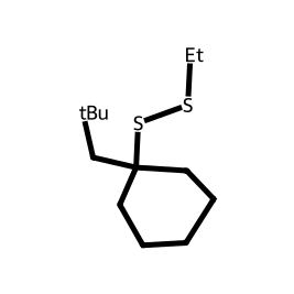 CCSSC1(CC(C)(C)C)CCCCC1